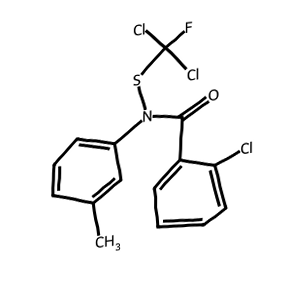 Cc1cccc(N(SC(F)(Cl)Cl)C(=O)c2ccccc2Cl)c1